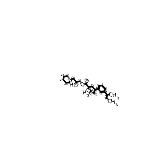 CCC(C)c1cccc(C(CC)CC(C)C(=O)OCC(O)CN2CCCCC2)c1